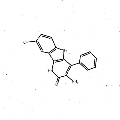 Nc1c(-c2ccccc2)c2[nH]c3ccc(Cl)cc3c2[nH]c1=O